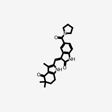 Cc1c(/C=C2\C(=O)Nc3ccc(C(=O)N4CCCC4)cc32)[nH]c2c1C(=O)C(C)(C)CC2